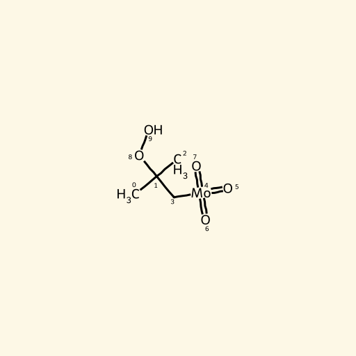 CC(C)([CH2][Mo](=[O])(=[O])=[O])OO